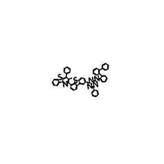 Cc1c(-c2cccc3c2sc2ccc(-c4nc(-c5ccccc5)nc(-n5c6ccccc6c6c(-c7ccccc7)cccc65)n4)cc23)nc2c(sc3ccccc32)c1-c1ccccc1